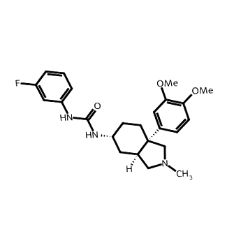 COc1ccc([C@@]23CC[C@@H](NC(=O)Nc4cccc(F)c4)C[C@@H]2CN(C)C3)cc1OC